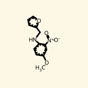 COc1ccc(NCc2ccco2)c([N+](=O)[O-])c1